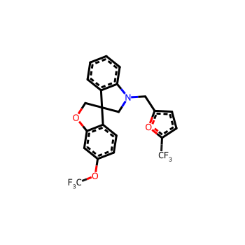 FC(F)(F)Oc1ccc2c(c1)OCC21CN(Cc2ccc(C(F)(F)F)o2)c2ccccc21